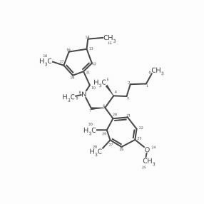 CCCC[C@H](C)[C@H](CN(C)CC1=CC(CC)CC(C)=C1)C1=CC=C(OC)C=C(C)C1C